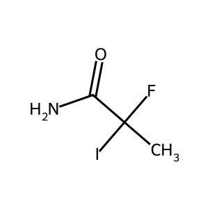 CC(F)(I)C(N)=O